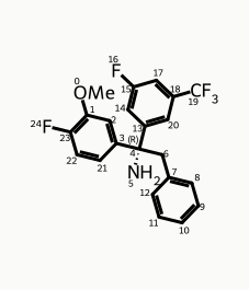 COc1cc([C@](N)(Cc2ccccc2)c2cc(F)cc(C(F)(F)F)c2)ccc1F